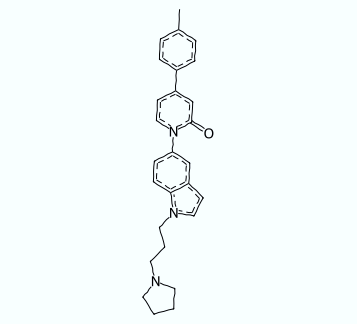 Cc1ccc(-c2ccn(-c3ccc4c(ccn4CCCN4CCCC4)c3)c(=O)c2)cc1